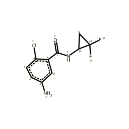 Nc1ccc(Cl)c(C(=O)NC2CC2(F)F)c1